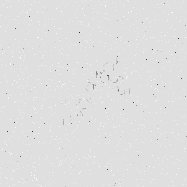 CCOc1ccc(-c2csc(-c3cc(C(=O)OC)c4cc(F)ccc4n3)c2)cc1